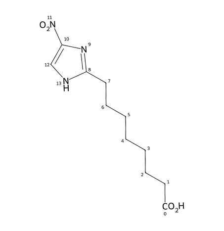 O=C(O)CCCCCCCc1nc([N+](=O)[O-])c[nH]1